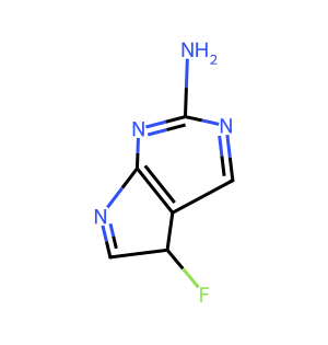 Nc1ncc2c(n1)N=CC2F